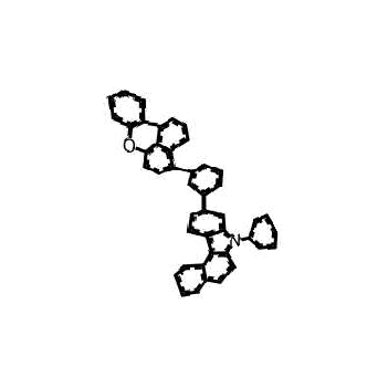 c1ccc(-n2c3cc(-c4cccc(-c5ccc6c7c(cccc57)-c5ccccc5O6)c4)ccc3c3c4ccccc4ccc32)cc1